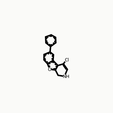 ClC1=CNCc2oc3ccc(-c4ccccc4)cc3c21